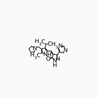 Cc1[nH]c(C=C2C(=O)NN=C2c2cncnc2)c(C(C)C)c1CN1CCCC1